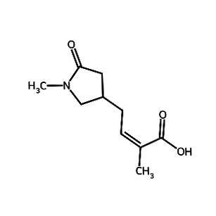 CC(=CCC1CC(=O)N(C)C1)C(=O)O